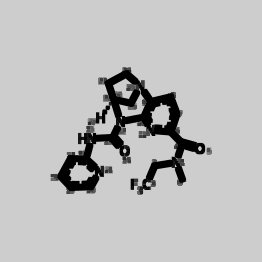 CN(CC(F)(F)F)C(=O)c1ccc2c(n1)N(C(=O)Nc1ccccn1)[C@H]1CCN2C1